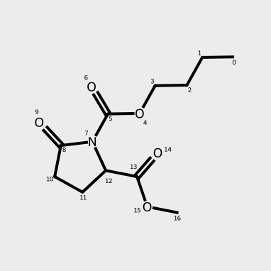 CCCCOC(=O)N1C(=O)CCC1C(=O)OC